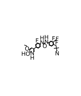 CCOC1=CC(c2ccc(NC(=O)Nc3ccc(CC(C)(C)C#N)c(C(F)(F)F)c3)c(F)c2)=CNC1O